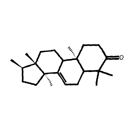 C[C@@H]1CC[C@]2(C)C3=CCC4C(C)(C)C(=O)CC[C@]4(C)C3CC[C@@]12C